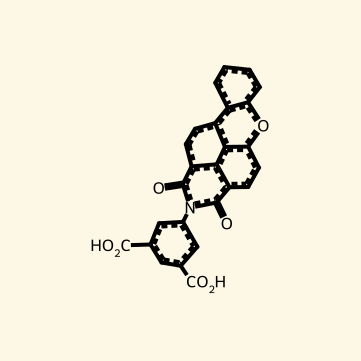 O=C(O)c1cc(C(=O)O)cc(-n2c(=O)c3ccc4oc5ccccc5c5ccc(c2=O)c3c45)c1